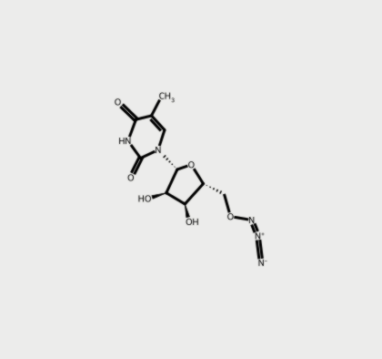 Cc1cn([C@@H]2O[C@H](CON=[N+]=[N-])[C@@H](O)[C@H]2O)c(=O)[nH]c1=O